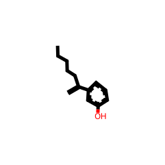 C=C(CCCCC)c1cccc(O)c1